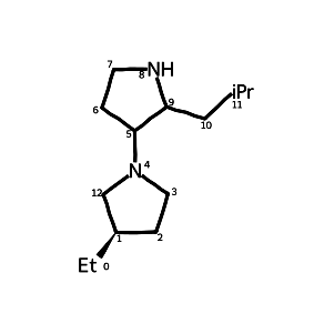 CC[C@@H]1CCN(C2CCNC2CC(C)C)C1